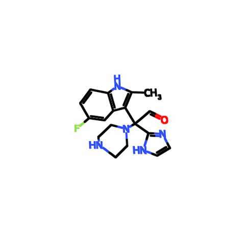 Cc1[nH]c2ccc(F)cc2c1C(C=O)(c1ncc[nH]1)N1CCNCC1